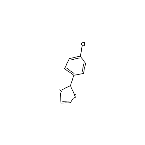 Clc1ccc(C2SC=CS2)cc1